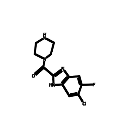 O=C(c1nc2cc(F)c(Cl)cc2[nH]1)N1CCNCC1